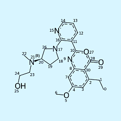 CCc1cc(OC)cc2nc(-c3cccnc3N3CC[C@@H](N(C)CCO)C3)oc(=O)c12